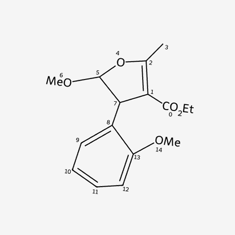 CCOC(=O)C1=C(C)OC(OC)C1c1ccccc1OC